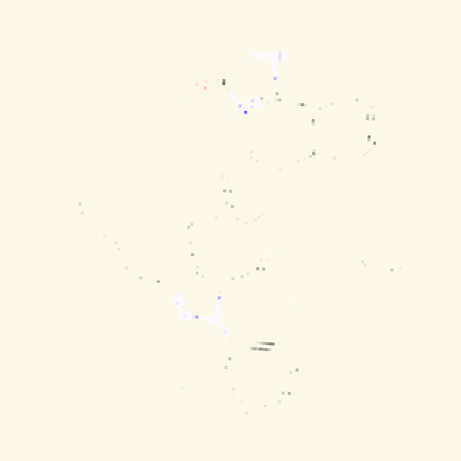 CCCCc1nn(-c2ccccc2Cl)c(C(=O)O)c1Cc1ccc(-c2ccccc2-c2nc(=O)s[nH]2)cc1.[Na].[Na]